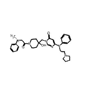 C[C@H](CC(=O)N1CCC(O)(Cn2cnc(N(CCN3CCCC3)c3ccccc3)cc2=O)CC1)c1ccccc1